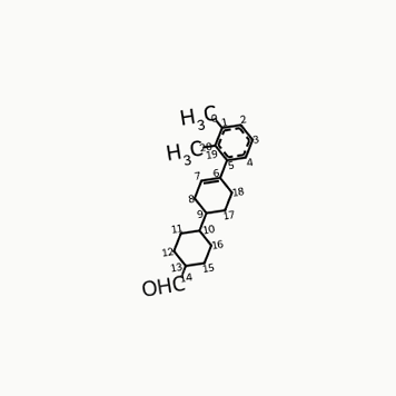 Cc1cccc(C2=CCC(C3CCC(C=O)CC3)CC2)c1C